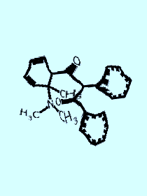 CN(C)C1(C)C=CC=CC1C(=O)C(C(=O)c1ccccc1)c1ccccc1